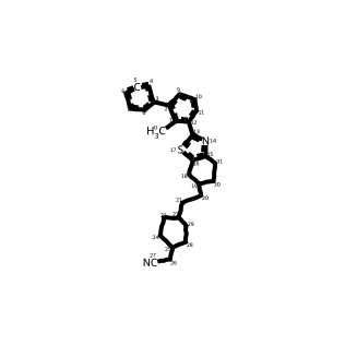 Cc1c(-c2ccccc2)cccc1-c1nc2c(s1)CC(CCC1CCC(CC#N)CC1)CC2